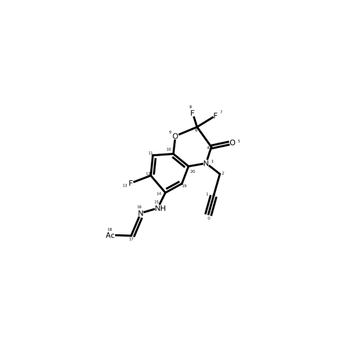 C#CCN1C(=O)C(F)(F)Oc2cc(F)c(N/N=C/C(C)=O)cc21